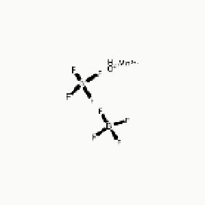 F[B-](F)(F)F.F[B-](F)(F)F.O.[Mn+2]